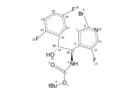 CC(C)(C)OC(=O)N[C@H](c1cc(Br)ncc1F)[C@H](O)c1cc(F)ccc1F